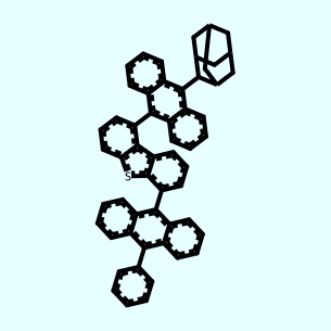 c1ccc(-c2c3ccccc3c(-c3cccc4c3sc3cccc(-c5c6ccccc6c(C6C7CC8CC(C7)CC6C8)c6ccccc56)c34)c3ccccc23)cc1